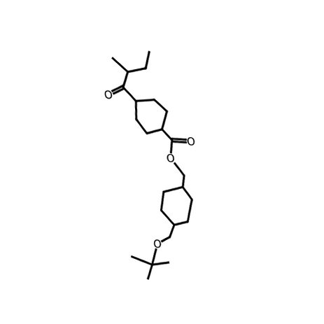 CCC(C)C(=O)C1CCC(C(=O)OCC2CCC(COC(C)(C)C)CC2)CC1